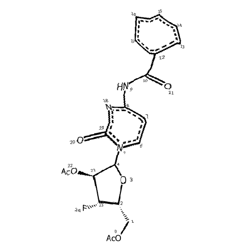 CC(=O)OC[C@H]1OC(n2ccc(NC(=O)c3ccccc3)nc2=O)[C@H](OC(C)=O)[C@H]1F